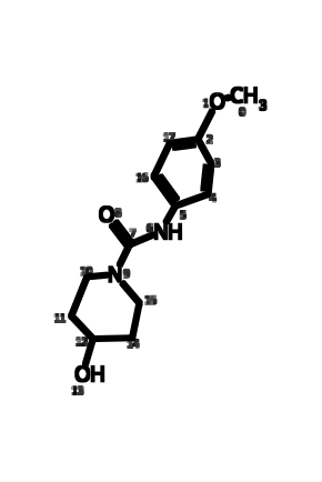 COc1ccc(NC(=O)N2CCC(O)CC2)cc1